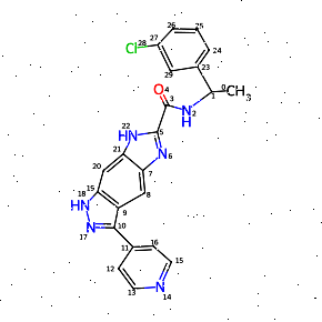 CC(NC(=O)c1nc2cc3c(-c4ccncc4)n[nH]c3cc2[nH]1)c1cccc(Cl)c1